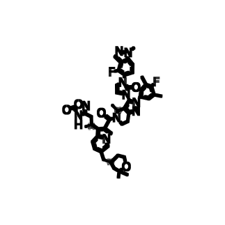 Cc1cc(-n2nc3c(c2-n2ccn(-c4ccc5c(cnn5C)c4F)c2=O)[C@H](C)N(C(=O)c2cn4cc(C[C@H]5CCOC(C)(C)C5)ccc4c2[C@@H](C)Cc2noc(=O)[nH]2)CC3)cc(C)c1F